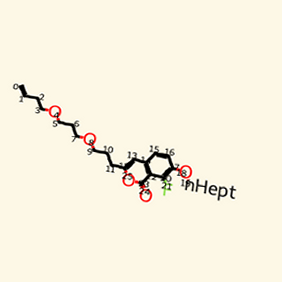 C=CCCOCCCOCCCc1cc2ccc(OCCCCCCC)c(F)c2c(=O)o1